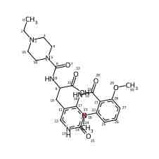 CCN1CCN(C(=O)NC(Cc2c[nH]c(=O)nc2NC(=O)c2c(OC)cccc2OC)C(=O)O)CC1